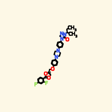 CCC(C)n1ncn(-c2ccc(N3CCN(c4ccc(OC[C@H]5CO[C@@H](c6ccc(F)cc6F)O5)cc4)CC3)cc2)c1=O